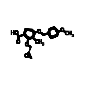 COc1ccc(COc2ccc(C(=O)O)c(OC[C@@H]3CO3)c2C)cc1